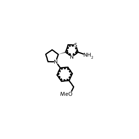 COCc1ccc(N2CCC[C@@H]2c2csc(N)n2)cc1